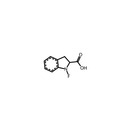 O=C(O)C1Cc2ccccc2N1F